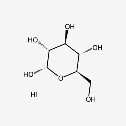 I.OC[C@H]1O[C@H](O)[C@H](O)[C@@H](O)[C@@H]1O